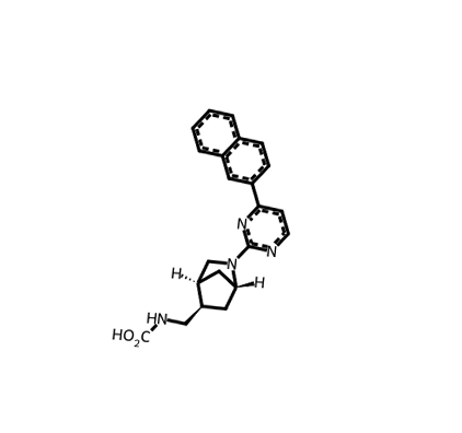 O=C(O)NC[C@@H]1C[C@@H]2C[C@@H]1CN2c1nccc(-c2ccc3ccccc3c2)n1